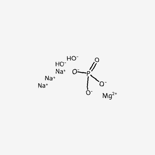 O=P([O-])([O-])[O-].[Mg+2].[Na+].[Na+].[Na+].[OH-].[OH-]